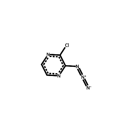 [N-]=[N+]=Nc1nccnc1Cl